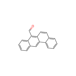 O=Cc1c2ccccc2cc2c1ccc1ccccc12